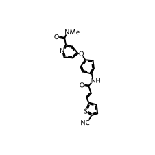 CNC(=O)c1cc(Oc2ccc(NC(=O)C=Cc3ccc(C#N)s3)cc2)ccn1